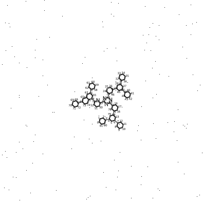 c1ccc(-c2cc(-c3ccccc3)cc(-c3cccc(-c4nc(-c5cccc(-c6cc(-c7ccccc7)cc(-c7ccccc7)c6)c5)nc(-c5cccc(-c6cc(-c7ccccc7)cc7cc(-c8ccccc8)ccc67)n5)n4)c3)c2)cc1